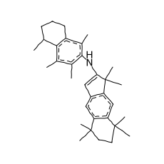 Cc1c(C)c2c(c(C)c1NC1=Cc3cc4c(cc3C1(C)C)C(C)(C)CCC4(C)C)CCCC2C